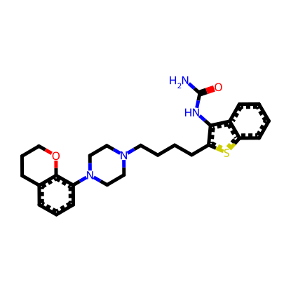 NC(=O)Nc1c(CCCCN2CCN(c3cccc4c3OCCC4)CC2)sc2ccccc12